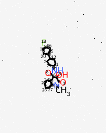 CN1C(=O)C(O)C(C(=O)NC2CC=C(c3ccc(F)cc3)CC2)c2ccccc21